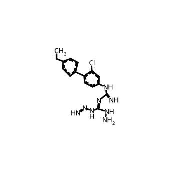 CCc1ccc(-c2ccc(NC(=N)/N=C(\NN)NN=N)cc2Cl)cc1